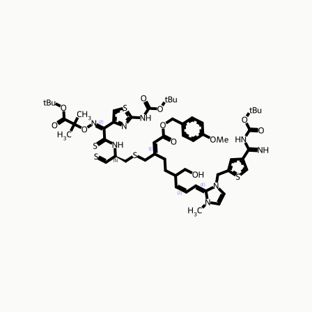 COc1ccc(COC(=O)/C=C(\CCC(/C=C\C=C2/N(C)C=CN2Cc2cc(C(=N)NC(=O)OC(C)(C)C)cs2)CO)CSC[C@@H](C=S)NC(=S)/C(=N\OC(C)(C)C(=O)OC(C)(C)C)c2csc(NC(=O)OC(C)(C)C)n2)cc1